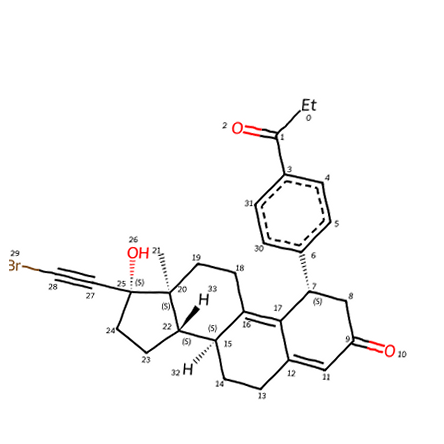 CCC(=O)c1ccc([C@@H]2CC(=O)C=C3CC[C@@H]4C(=C32)CC[C@@]2(C)[C@H]4CC[C@@]2(O)C#CBr)cc1